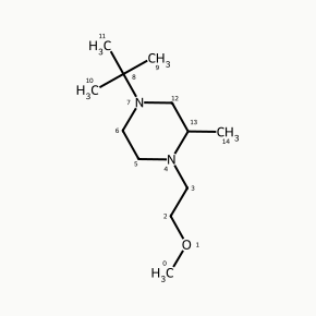 COCCN1CCN(C(C)(C)C)CC1C